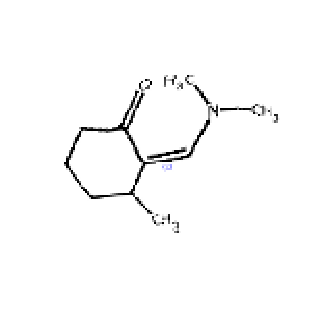 CC1CCCC(=O)/C1=C\N(C)C